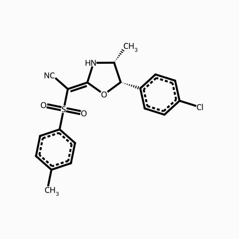 Cc1ccc(S(=O)(=O)C(C#N)=C2N[C@H](C)[C@H](c3ccc(Cl)cc3)O2)cc1